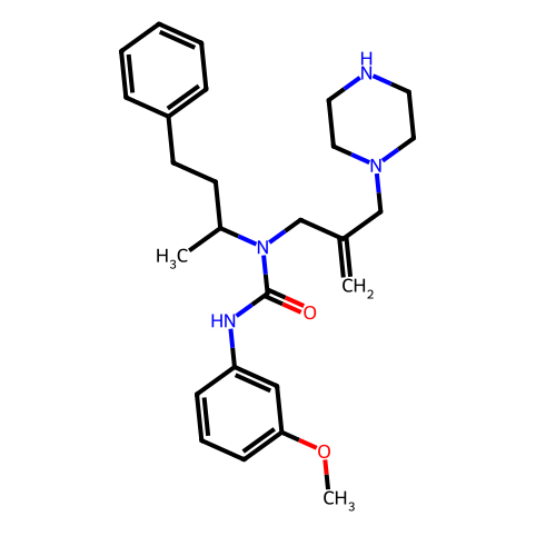 C=C(CN1CCNCC1)CN(C(=O)Nc1cccc(OC)c1)C(C)CCc1ccccc1